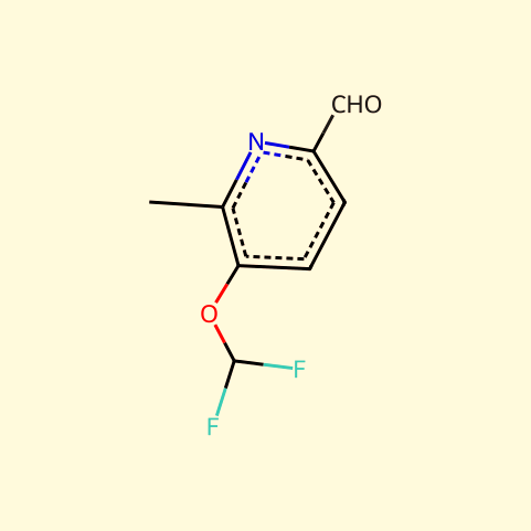 Cc1nc(C=O)ccc1OC(F)F